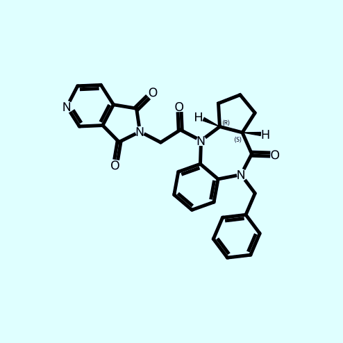 O=C1c2ccncc2C(=O)N1CC(=O)N1c2ccccc2N(Cc2ccccc2)C(=O)[C@H]2CCC[C@H]21